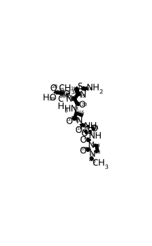 CCN1CCN(C(=O)NS(=O)(=O)NC(=O)N2C[C@H](NC(=O)C(=NOC(C)(C)C(=O)O)c3csc(N)n3)C2=O)C1=O